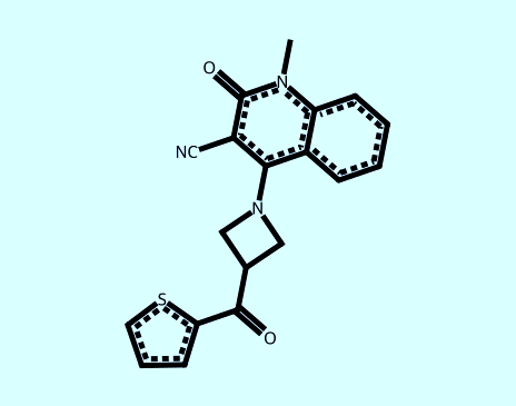 Cn1c(=O)c(C#N)c(N2CC(C(=O)c3cccs3)C2)c2ccccc21